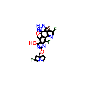 C/N=C\c1c(N)sc2c(F)cnc(-c3c4c(c5c(O)nc(OC[C@@]67CCCN6C[C@H](F)C7)nc5c3F)COC4)c12